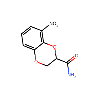 NC(=O)C1COc2cccc([N+](=O)[O-])c2O1